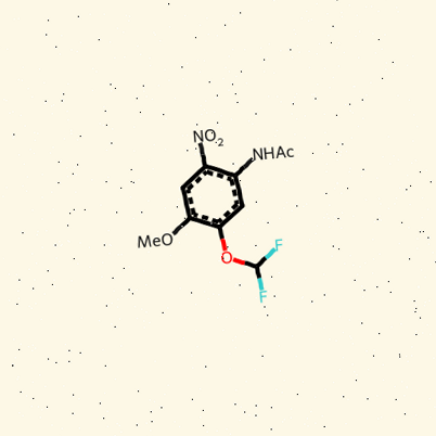 COc1cc([N+](=O)[O-])c(NC(C)=O)cc1OC(F)F